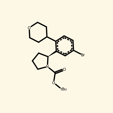 CC(C)(C)OC(=O)N1CCC[C@H]1c1cc(Br)ccc1C1CCOCC1